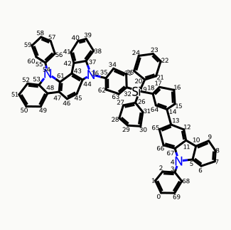 c1ccc(-n2c3ccccc3c3cc(-c4cccc([Si](c5ccccc5)(c5ccccc5)c5ccc(-n6c7ccccc7c7c6ccc6c8ccccc8n(-c8ccccc8)c67)cc5)c4)ccc32)cc1